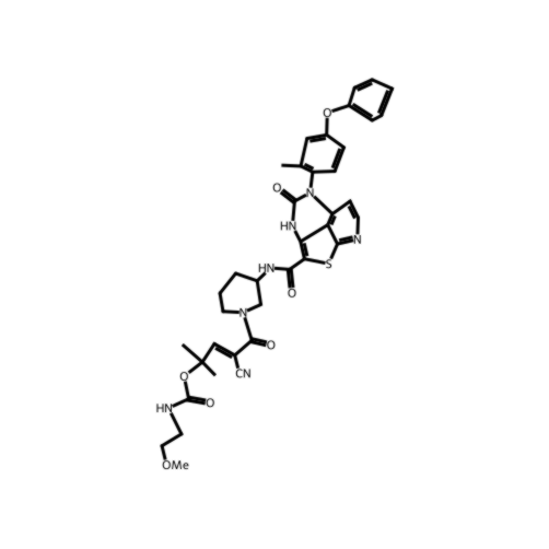 COCCNC(=O)OC(C)(C)C=C(C#N)C(=O)N1CCCC(NC(=O)c2sc3nccc4c3c2NC(=O)N4c2ccc(Oc3ccccc3)cc2C)C1